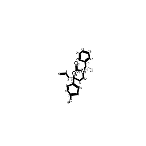 C=CC[C@@]1(c2ccc(F)cc2)CCN([C@@H](C)c2ccccc2)C(=O)O1